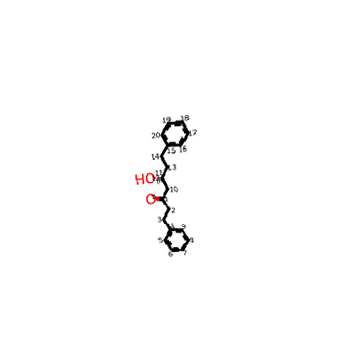 O=C(CCc1ccccc1)C[C@H](O)CCc1ccccc1